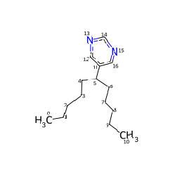 CCCCCC(CCCCC)c1cncnc1